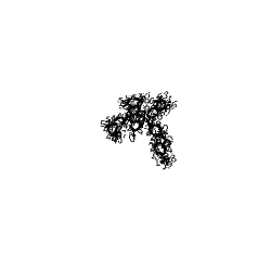 Cc1cc2c3c(c1)N(c1ccc4sc5cc(C(C)(C)C)ccc5c4c1)c1cc4c(cc1B3c1cc3c(cc1N2c1ccc2c(c1)C(C)(C)CCC2(C)C)C(C)(C)CCC3(C)C)C(C)(C)CC4(C)C